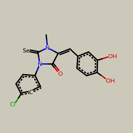 CN1C(=[Se])N(c2ccc(Cl)cc2)C(=O)C1=Cc1ccc(O)c(O)c1